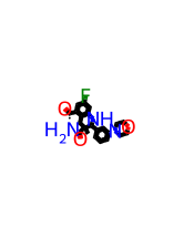 CC1(C(N)=O)Cc2c([C]=O)cc(F)cc2NC1c1cccc(N2CCOCC2)c1